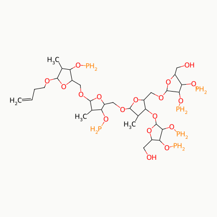 C=CCCOC1OC(COC2OC(COC3OC(COC4OC(CO)C(OP)C4OP)C(OC4OC(CO)C(OP)C4OP)C3C)C(OP)C2C)C(OP)C1C